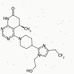 C[C@@H]1CC(=O)Nc2ncnc(N3CCC(c4nc(CC(F)(F)F)cn4CCO)CC3)c21